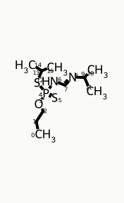 CCCOP(=S)(NC=NC(C)C)SC(C)C